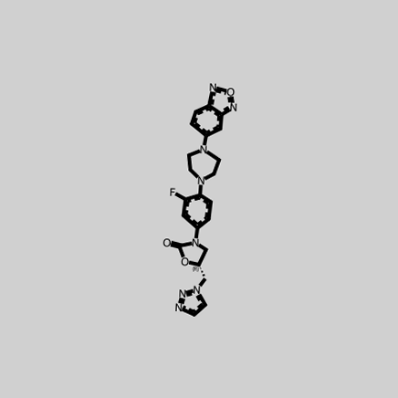 O=C1O[C@@H](Cn2ccnn2)CN1c1ccc(N2CCN(c3ccc4nonc4c3)CC2)c(F)c1